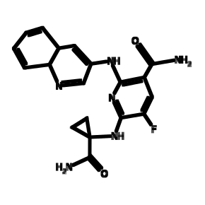 NC(=O)c1cc(F)c(NC2(C(N)=O)CC2)nc1NC1=CC2C=CC=CC2N=C1